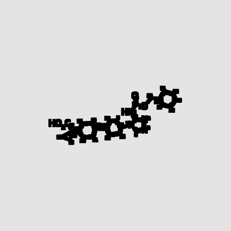 O=C(Nc1nncn1-c1ccc(-c2ccc(C3(C(=O)O)CC3)cc2)cc1)OCc1ccccc1